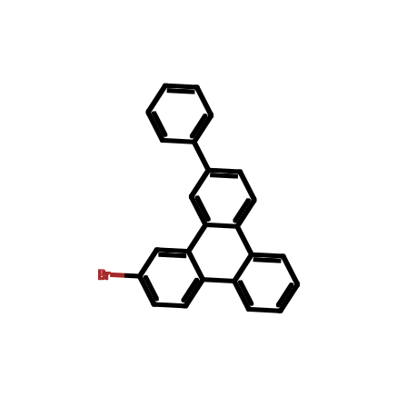 Brc1ccc2c3ccccc3c3ccc(-c4ccccc4)cc3c2c1